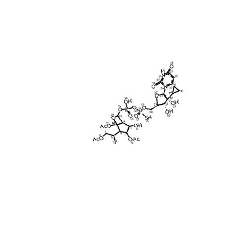 CC(=O)OC[C@H](F)C1C(OC(C)=O)C(O)C2C(OP(=O)(O)OP(=O)(S)OC[C@H]3O[C@@H](n4ccc(=O)[nH]c4=O)[C@@](O)(C4CC4)[C@@H]3O)OC21OC(C)=O